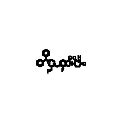 O=C1CCC(N2Cc3c(ccc(CN4CCN(C(c5ccccc5)c5ccccc5)CC4CF)c3F)C2=O)C(=O)N1